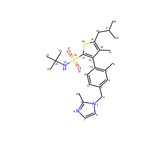 Cc1cc(Cn2ccnc2C)ccc1-c1c(S(=O)(=O)NC(C)(C)C)sc(CC(C)C)c1C